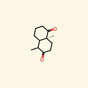 CC1C(=O)CC[C@]2(C)C(=O)CCCC12